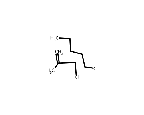 C=C(C)CCl.CCCCCCl